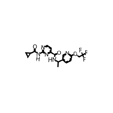 CC(NC(=O)c1ccnc(NC(=O)C2CC2)n1)c1ccc(OCC(F)(F)F)nc1